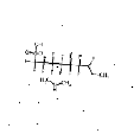 CCC(F)C(F)(F)C(F)(F)C(F)(F)C(F)(F)C(F)(F)C(F)(F)S(=O)(=O)O.CNC